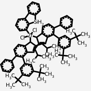 CC(C)CC1=Cc2c(ccc(-c3ccccc3)c2-c2cc(C(C)(C)C)cc(C(C)(C)C)c2)[CH]1[Zr]([Cl])([Cl])([c]1cccc2c1[SiH2]c1ccccc1-2)[CH]1C(CC(C)C)=Cc2c1ccc(-c1ccccc1)c2-c1cc(C(C)(C)C)cc(C(C)(C)C)c1